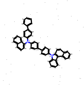 c1ccc(-c2ccc(N(c3ccc(-c4ccc(-n5c6ccccc6c6c7ccccc7ccc65)cc4)cc3)c3cccc4ccccc34)cc2)cc1